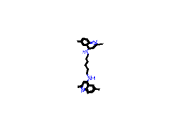 Cc1ccc2nc(C)cc(NCCCCCCNc3cc(C)nc4ccc(C)cc34)c2c1